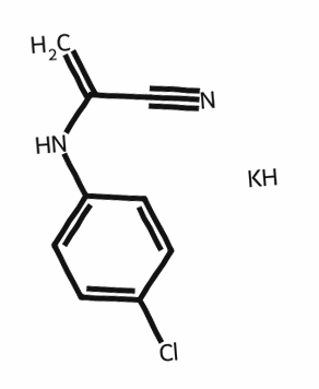 C=C(C#N)Nc1ccc(Cl)cc1.[KH]